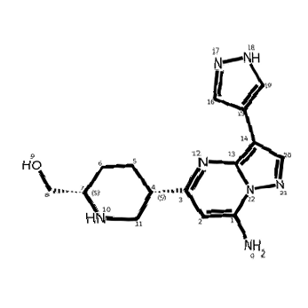 Nc1cc([C@H]2CC[C@@H](CO)NC2)nc2c(-c3cn[nH]c3)cnn12